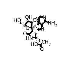 CC(=O)O.Nc1ncnc2c1ncn2[C@]1([C@@H]2CC(=O)NC2=O)O[C@H](CO)[C@@H](O)[C@H]1O